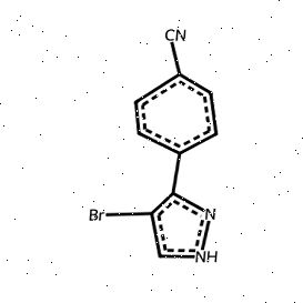 N#Cc1ccc(-c2n[nH]cc2Br)cc1